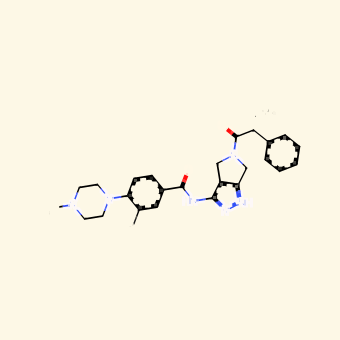 CO[C@@H](C(=O)N1Cc2[nH]nc(NC(=O)c3ccc(N4CCN(C)CC4)c(C(C)C)c3)c2C1)c1ccccc1